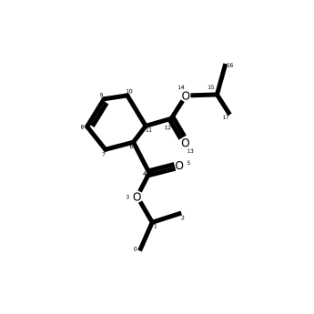 CC(C)OC(=O)C1CC=CCC1C(=O)OC(C)C